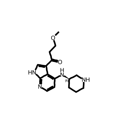 COCCC(=O)c1c[nH]c2nccc(N[C@@H]3CCCNC3)c12